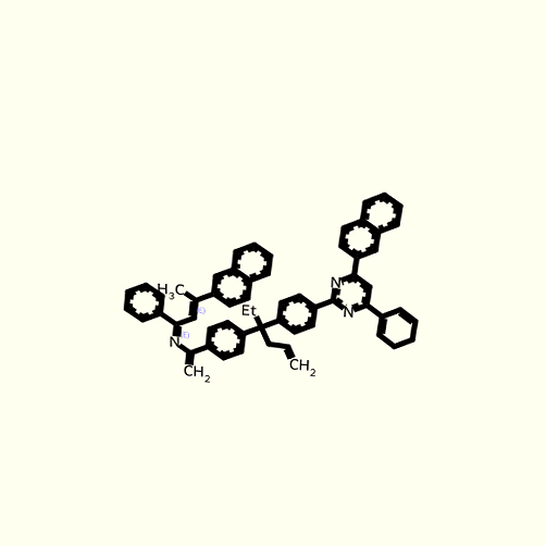 C=CCC(CC)(c1ccc(C(=C)/N=C(\C=C(/C)c2ccc3ccccc3c2)c2ccccc2)cc1)c1ccc(-c2nc(C3=CCCC=C3)cc(-c3ccc4ccccc4c3)n2)cc1